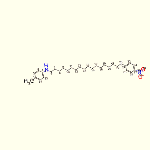 Cc1ccc(NCCCCCCCCCCCCCCCCC[CH]c2ccc([N+](=O)[O-])cc2)cc1